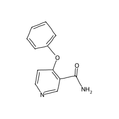 NC(=O)c1cnccc1Oc1ccccc1